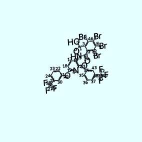 O=C(O)c1c(Br)c(Br)c(Br)c(Br)c1C(=O)Nc1ccc(Oc2cccc(C(F)(F)F)c2)nc1Oc1cccc(C(F)(F)F)c1